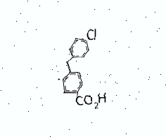 O=C(O)c1c[c]c(Cc2ccc(Cl)cc2)cc1